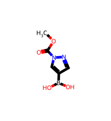 COC(=O)n1cc(B(O)O)cn1